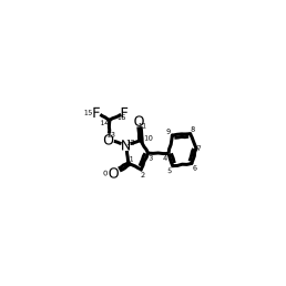 O=C1C=C(c2ccccc2)C(=O)N1OC(F)F